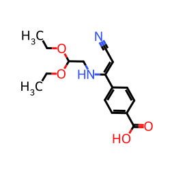 CCOC(CNC(=CC#N)c1ccc(C(=O)O)cc1)OCC